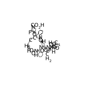 C=C[C@@H]1C[C@]1(NC(=O)[C@@H]1C[C@@H]2CN1C(=O)[C@H](C1CCCCC1)NC(=O)O[C@@H]1C[C@H]1CCCCCc1c(nc3ccccc3c1O[C@@H]1CCN(C(=O)O)C[C@@H]1F)O2)C(=O)NS(=O)(=O)C1(C)CC1